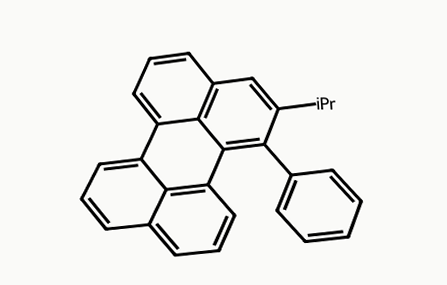 CC(C)c1cc2cccc3c4cccc5cccc(c(c1-c1ccccc1)c23)c54